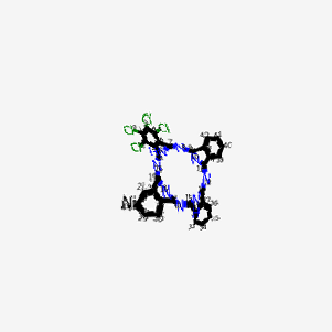 Clc1c(Cl)c(Cl)c2c3nc4nc(nc5[nH]c(nc6nc(nc([nH]3)c2c1Cl)-c1ccccc1-6)c1ccccc51)-c1ccccc1-4.[Ni]